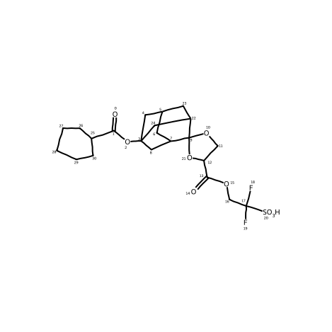 O=C(OC12CC3CC(C1)C1(OCC(C(=O)OCC(F)(F)S(=O)(=O)O)O1)C(C3)C2)C1CCCCC1